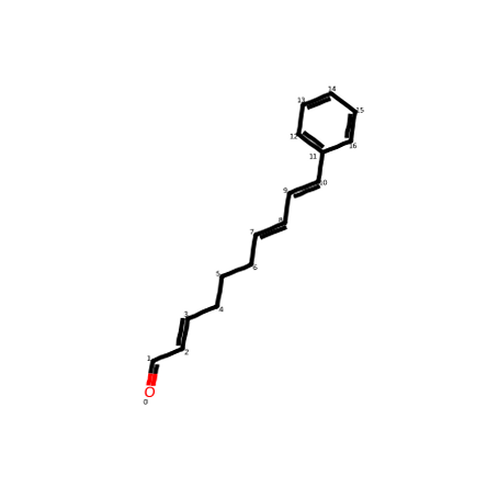 O=CC=CCCCC=CC=Cc1ccccc1